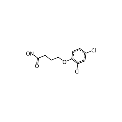 O=NC(=O)CCCOc1ccc(Cl)cc1Cl